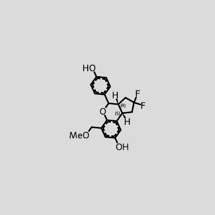 COCc1cc(O)cc2c1OC(c1ccc(O)cc1)[C@@H]1CC(F)(F)C[C@H]21